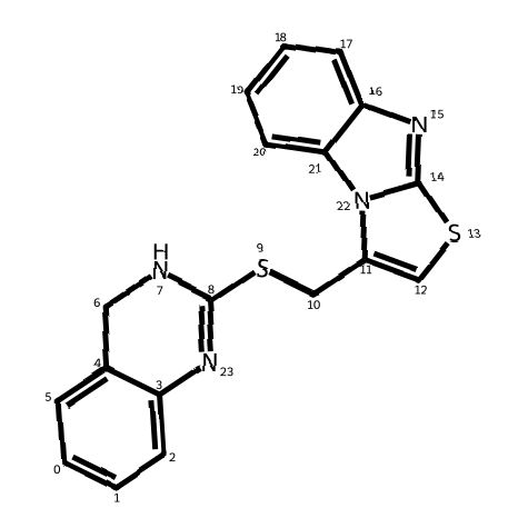 c1ccc2c(c1)CNC(SCc1csc3nc4ccccc4n13)=N2